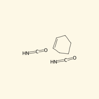 C1=CCCCC1.N=C=O.N=C=O